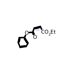 CCOC(=O)/C=C\C(=O)Oc1ccccc1